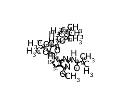 COc1nc(NC(=O)C(C)C)nc2c1ccn2[C@@H]1O[C@H](CO[Si](C)(C)C(C)(C)C)[C@H]2OC(C)(C)O[C@H]21